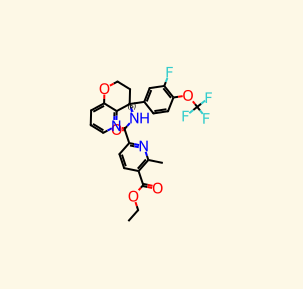 CCOC(=O)c1ccc(C(=O)N[C@]2(c3ccc(OC(F)(F)F)c(F)c3)CCOc3cccnc32)nc1C